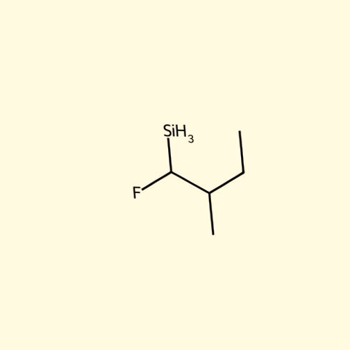 CCC(C)C(F)[SiH3]